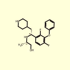 C[C@@H](CO)N[C@H](CC1CCNCC1)c1ccc(F)c(Oc2ccccc2)c1F